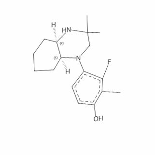 Cc1c(O)ccc(N2CC(C)(C)N[C@@H]3CCCC[C@@H]32)c1F